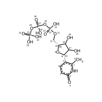 Cc1[nH]c(=O)ccc1[C@@H]1O[C@H](COP(=O)(O)OP(=O)(O)OP(=O)(O)O)C(O)C1O